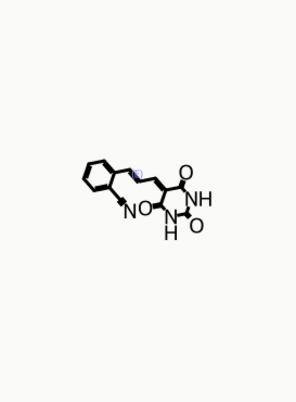 N#Cc1ccccc1/C=C/C=C1C(=O)NC(=O)NC1=O